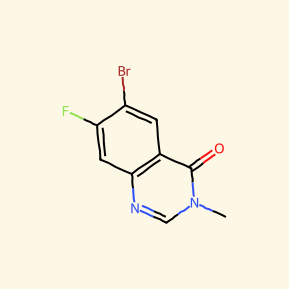 Cn1cnc2cc(F)c(Br)cc2c1=O